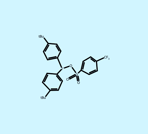 CC(C)(C)c1ccc([I+](OS(=O)(=O)c2ccc(C(F)(F)F)cc2)c2ccc(C(C)(C)C)cc2)cc1